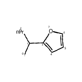 [CH2]C(CCC)c1ccco1